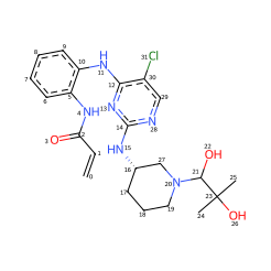 C=CC(=O)Nc1ccccc1Nc1nc(N[C@H]2CCCN(C(O)C(C)(C)O)C2)ncc1Cl